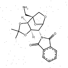 CC1(C)O[C@H]2[C@@H](O1)[C@]1(CN)COC(O1)[C@@H]2N1C(=O)c2ccccc2C1=O